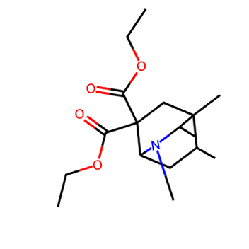 CCOC(=O)C1(C(=O)OCC)CC2(C)C(C)CC1N(C)C2C